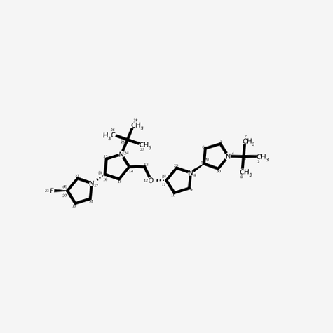 CC(C)(C)N1CC[C@H](N2CC[C@H](OCC3C[C@H](N4CC[C@@H](F)C4)CN3C(C)(C)C)C2)C1